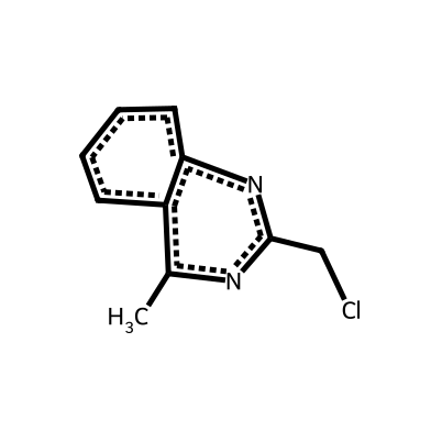 Cc1nc(CCl)nc2ccccc12